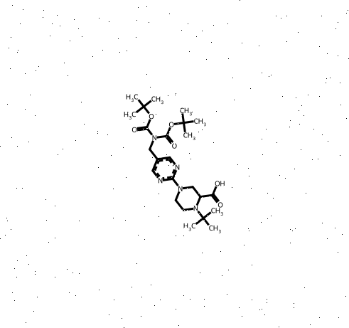 CC(C)(C)OC(=O)N(Cc1cnc(N2CCN(C(C)(C)C)C(C(=O)O)C2)nc1)C(=O)OC(C)(C)C